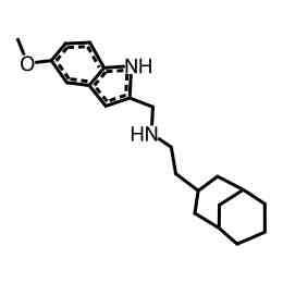 COc1ccc2[nH]c(CNCCC3CC4CCCC(C4)C3)cc2c1